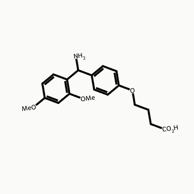 COc1ccc(C(N)c2ccc(OCCCC(=O)O)cc2)c(OC)c1